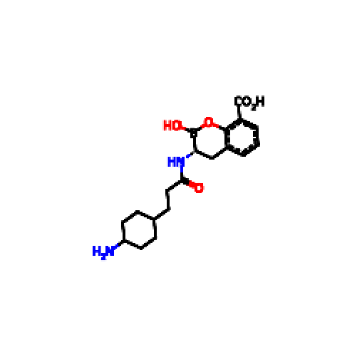 NC1CCC(CCC(=O)N[C@H]2Cc3cccc(C(=O)O)c3OB2O)CC1